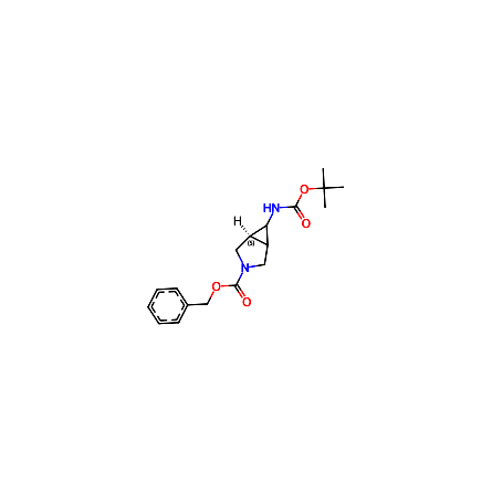 CC(C)(C)OC(=O)NC1C2CN(C(=O)OCc3ccccc3)C[C@H]21